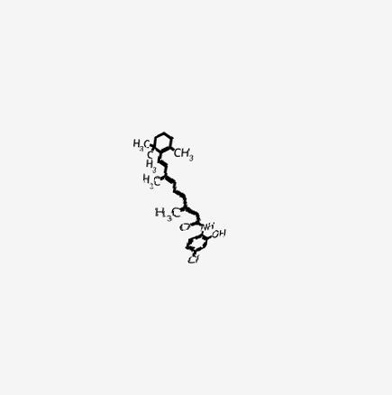 CC1=C(/C=C/C(C)=C/C=C/C(C)=C/C(=O)Nc2ccc(Cl)cc2O)C(C)(C)CCC1